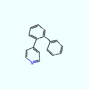 [c]1cccc(-c2ccccc2-c2ccncc2)c1